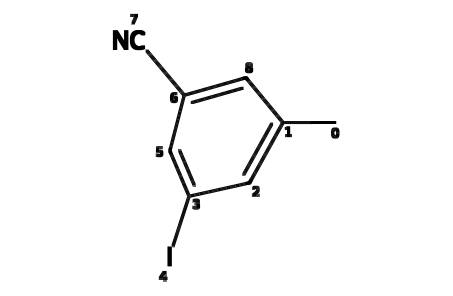 Cc1cc(I)cc(C#N)c1